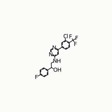 OC(CNc1cc(-c2ccc(C(F)(F)F)c(Cl)c2)ncn1)c1ccc(F)cc1